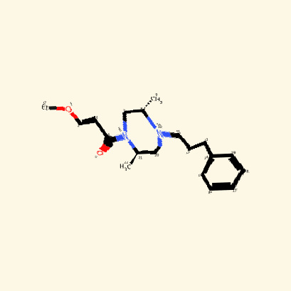 CCO/C=C/C(=O)N1C[C@H](C)N(CCCc2ccccc2)C[C@H]1C